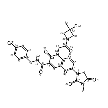 CN1C(=O)CN(c2cnc3c(cc(C(=O)NCc4ccc(Cl)cc4)c(=O)n3CC(=O)N3CC(C)(F)C3)n2)C1=O